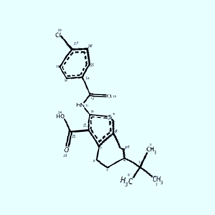 CC(C)(C)C1CCc2c(sc(NC(=O)c3ccc(Cl)cc3)c2C(=O)O)C1